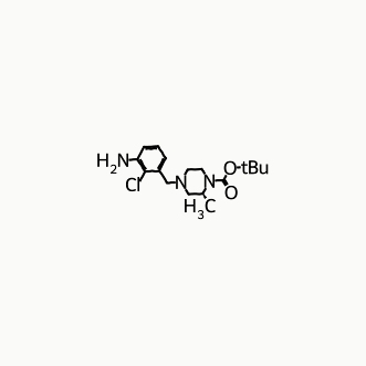 C[C@H]1CN(Cc2cccc(N)c2Cl)CCN1C(=O)OC(C)(C)C